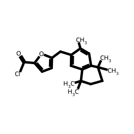 Cc1cc2c(cc1Cc1ccc(C(=O)Cl)o1)C(C)(C)CCC2(C)C